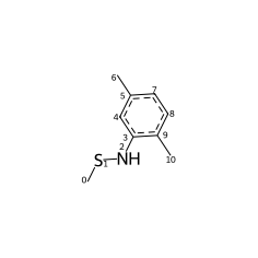 CSNc1cc(C)ccc1C